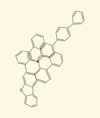 c1ccc(-c2ccc(-c3ccc(N(c4ccccc4-c4ccc5c(c4)oc4ccccc45)c4ccccc4-c4ccccc4-c4cccc5ccccc45)cc3)cc2)cc1